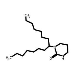 CCCCCCCC(CCCCCCC)N1CCCNC1=O